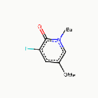 CCC(C)n1cc(OC)cc(F)c1=O